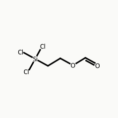 O=COCC[Si](Cl)(Cl)Cl